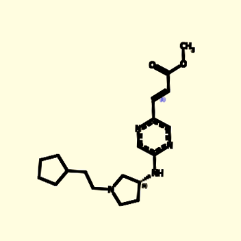 COC(=O)/C=C/c1cnc(N[C@@H]2CCN(CCC3CCCC3)C2)cn1